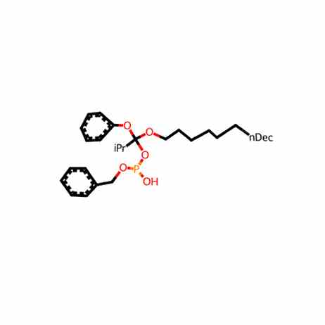 CCCCCCCCCCCCCCCCOC(Oc1ccccc1)(OP(O)OCc1ccccc1)C(C)C